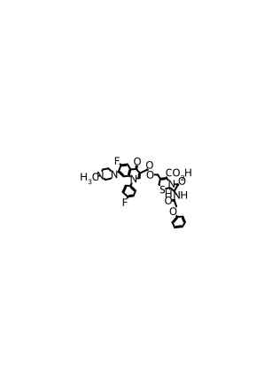 CN1CCN(c2cc3c(cc2F)c(=O)c(C(=O)OCC2=C(C(=O)O)N4C(=O)[C@@H](NC(=O)COc5ccccc5)[C@H]4SC2)cn3-c2ccc(F)cc2)CC1